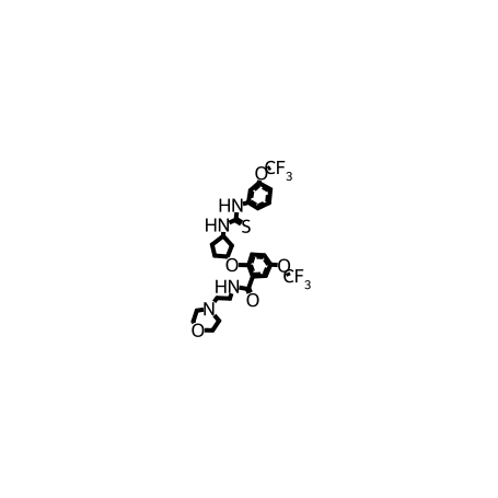 O=C(NCCN1CCOCC1)c1cc(OC(F)(F)F)ccc1OC1CCC(NC(=S)Nc2cccc(OC(F)(F)F)c2)C1